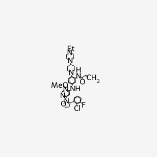 C=CC(=O)Nc1cc(Nc2cc(N3OCCC3c3cccc(F)c3Cl)ncn2)c(OC)cc1N1CCC(N2CCN(CC)CC2)CC1